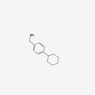 CC(C)Cc1ccc([C]2CCCCC2)cc1